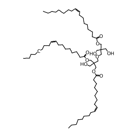 CCCCCCCC/C=C\CCCCCCCC(=O)OCC(CO)(CO)COCC(CO)(COC(=O)CCCCCCC/C=C\CCCCCCCC)COC(=O)CCCCCCC/C=C\CCCCCCCC